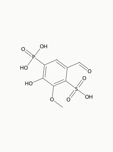 COc1c(O)c(P(=O)(O)O)cc(C=O)c1S(=O)(=O)O